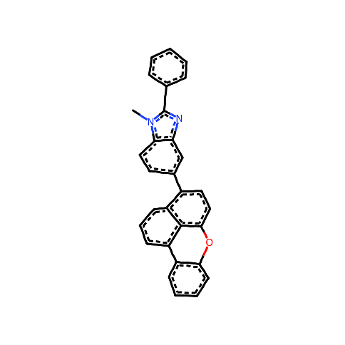 Cn1c(-c2ccccc2)nc2cc(-c3ccc4c5c(cccc35)-c3ccccc3O4)ccc21